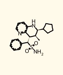 C[C@@H]1[C@H](C2CCCC2)Nc2cccnc2[C@H]1C(c1ccccc1)S(N)(=O)=O